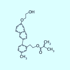 C=C(C)C(=O)OCCc1cc(C)ccc1-c1ccc2cc(OCCO)ccc2c1